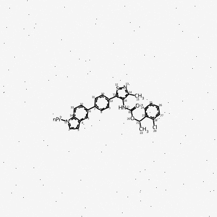 CCCn1ccc2cc(-c3ccc(-c4snc(C)c4NC(=O)O[C@H](C)c4ccccc4Cl)cc3)ccc21